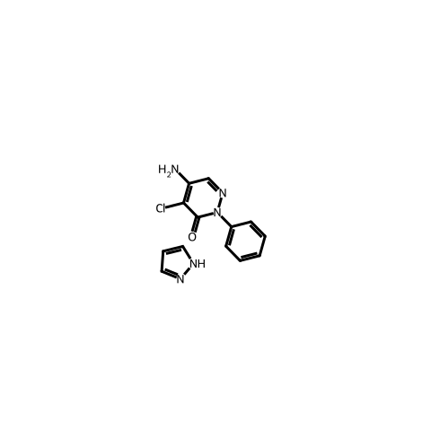 Nc1cnn(-c2ccccc2)c(=O)c1Cl.c1cn[nH]c1